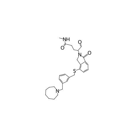 CNC(=O)CCC(C=O)N1Cc2c(SCc3cccc(CN4CCCCCCC4)c3)cccc2C1=O